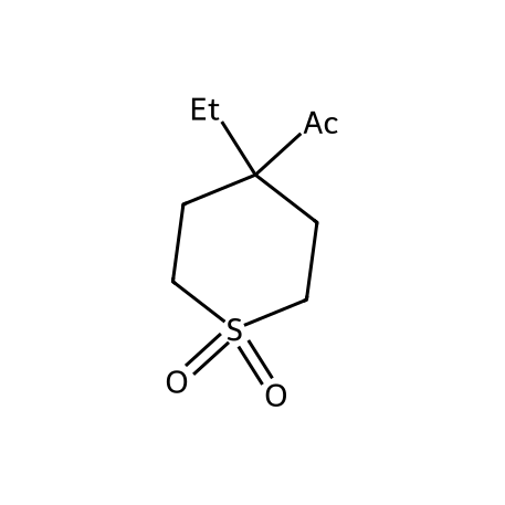 CCC1(C(C)=O)CCS(=O)(=O)CC1